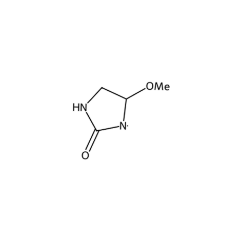 COC1CNC(=O)[N]1